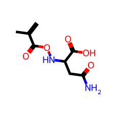 C=C(C)C(=O)ONC(CC(N)=O)C(=O)O